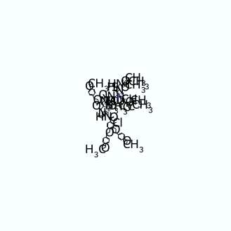 COc1ccc(COC(=O)C2=C(C[N+]3(CCNC(=O)c4ccc(OCc5ccc(OC)cc5)c(OCc5ccc(OC)cc5)c4Cl)CCCC3)C[S+]([O-])[C@@H]3[C@H](NC(=O)/C(=N\OC(C)(C)C(=O)OC(C)(C)C)c4csc(NC(=O)OC(C)(C)C)n4)C(=O)N23)cc1